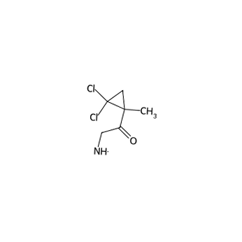 CC1(C(=O)C[NH])CC1(Cl)Cl